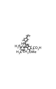 COc1cc2c(cc1CC(=O)O)nc(Nc1ccc(C(C)C)cc1)n2[C@H]1C[C@@H](C)CC(C)(C)C1